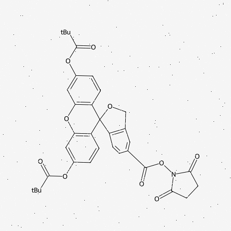 CC(C)(C)C(=O)Oc1ccc2c(c1)Oc1cc(OC(=O)C(C)(C)C)ccc1C21OCc2cc(C(=O)ON3C(=O)CCC3=O)ccc21